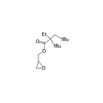 CCC(CC(C)(C)C)(C(=O)OCC1CO1)C(C)(C)C